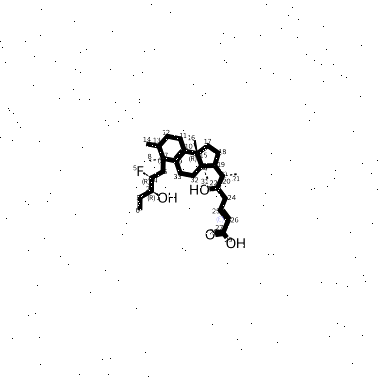 CC[C@@H](O)[C@H](F)C[C@]1(C)C2=C(CCC1C)[C@]1(C)CCC([C@H](C)C(O)C/C=C/C(=O)O)[C@@]1(C)CC2